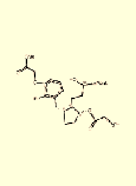 CCCCC[C@H](O)CC[C@@H]1[C@@H](Cc2cccc(OCC(=O)OC)c2CC)CC[C@H]1OC(=O)CC(C)C